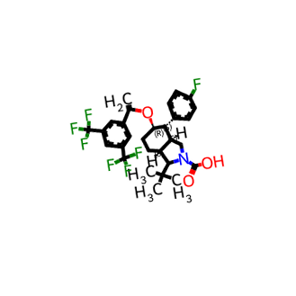 C=C(O[C@@H]1CC[C@@H]2C(C(C)(C)C)N(C(=O)O)C[C@@H]2[C@H]1c1ccc(F)cc1)c1cc(C(F)(F)F)cc(C(F)(F)F)c1